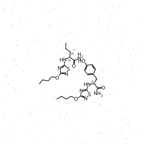 CCCCOc1nsc(N[C@@H](Cc2ccc(O)cc2)C(N)=O)n1.CCCCOc1nsc(N[C@H](C(N)=O)[C@@H](C)CC)n1